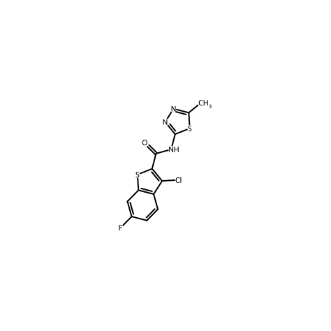 Cc1nnc(NC(=O)c2sc3cc(F)ccc3c2Cl)s1